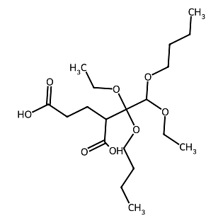 CCCCOC(OCC)C(OCC)(OCCCC)C(CCC(=O)O)C(=O)O